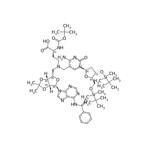 CC(C)(C)OC(=O)N[C@@H](CCN(Cc1cn([C@H]2C[C@H](O[Si](C)(C)C(C)(C)C)[C@@H](CO[Si](C)(C)C(C)(C)C)O2)c(=O)nc1N)C[C@H]1O[C@@H](n2cnc3c(NC(=O)c4ccccc4)ncnc32)[C@@H]2OC(C)(C)O[C@@H]21)C(=O)O